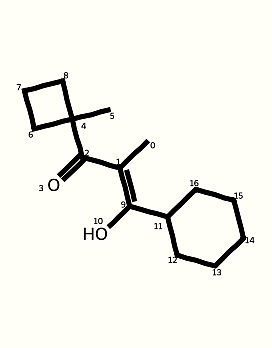 C/C(C(=O)C1(C)CCC1)=C(/O)C1CCCCC1